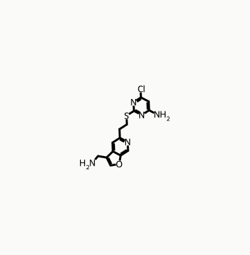 NCc1coc2cnc(CCSc3nc(N)cc(Cl)n3)cc12